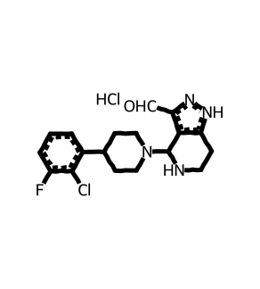 Cl.O=Cc1n[nH]c2c1C(N1CCC(c3cccc(F)c3Cl)CC1)NCC2